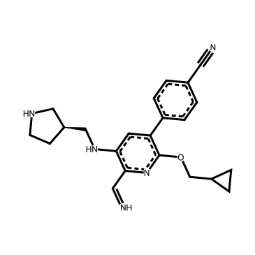 N#Cc1ccc(-c2cc(NC[C@H]3CCNC3)c(C=N)nc2OCC2CC2)cc1